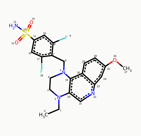 CCN1CCN(Cc2c(F)cc(S(N)(=O)=O)cc2F)c2c1cnc1cc(OC)ccc21